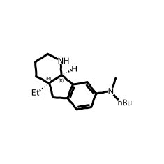 CCCCN(C)c1ccc2c(c1)[C@@H]1NCCC[C@]1(CC)C2